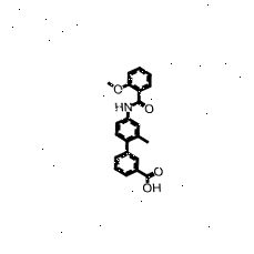 COc1ccccc1C(=O)Nc1ccc(-c2cccc(C(=O)O)c2)c(C)c1